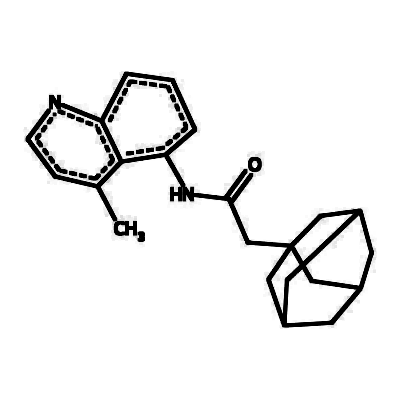 Cc1ccnc2cccc(NC(=O)CC34CC5CC(CC(C5)C3)C4)c12